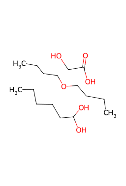 CCCCCC(O)O.CCCCOCCCC.O=C(O)CO